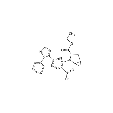 CCOC(=O)[C@H]1CC2CC2N1c1nc(-n2ccnc2-c2ccccc2)ncc1[N+](=O)[O-]